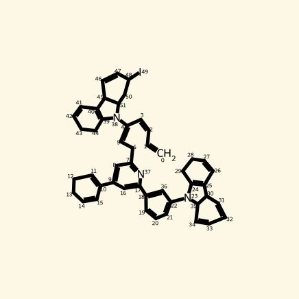 C=C/C=C\C(=C/Cc1cc(C2=CCCC=C2)cc(-c2cccc(N3C4=C(C=CCC4)C4C=CC=CC43)c2)n1)N1C2=C(C=CCC2)C2C=CC(I)CC21